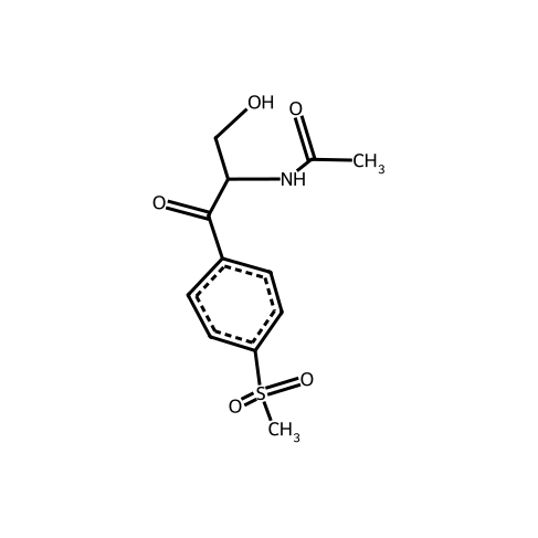 CC(=O)NC(CO)C(=O)c1ccc(S(C)(=O)=O)cc1